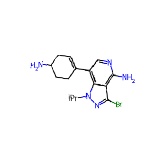 CC(C)n1nc(Br)c2c(N)ncc(C3=CCC(N)CC3)c21